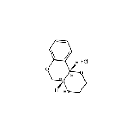 Cl.c1ccc2c(c1)OC[C@H]1NCCO[C@@H]21